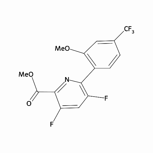 COC(=O)c1nc(-c2ccc(C(F)(F)F)cc2OC)c(F)cc1F